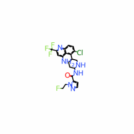 Nc1cc(C(F)(F)F)nc2ccc(Cl)c(C3CCC(NC(=O)c4ccnn4CCF)NC3)c12